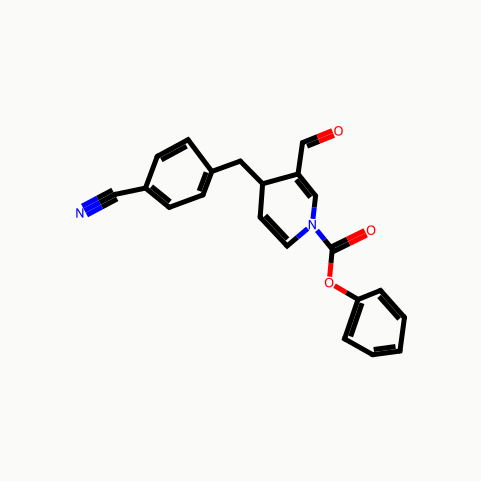 N#Cc1ccc(CC2C=CN(C(=O)Oc3ccccc3)C=C2C=O)cc1